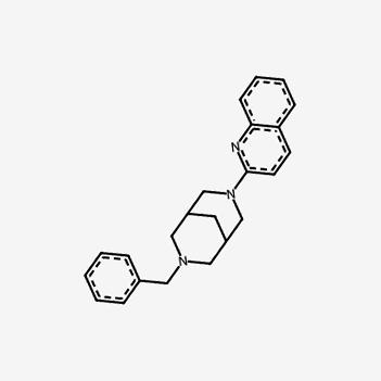 c1ccc(CN2CC3CC(C2)CN(c2ccc4ccccc4n2)C3)cc1